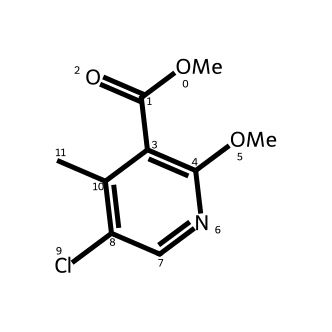 COC(=O)c1c(OC)ncc(Cl)c1C